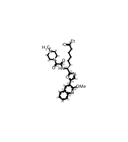 CCC(=O)CCCCC[C@H](NC(=O)C(=O)N1CCN(C)CC1)c1ncc(-c2cc3ccccc3nc2OC)o1